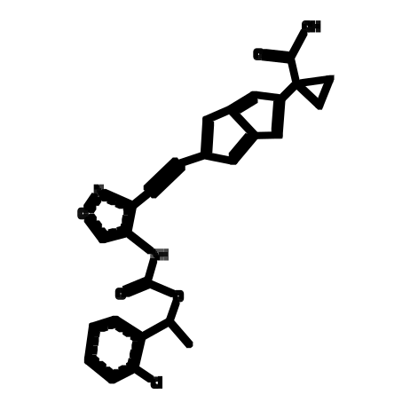 CC(OC(=O)Nc1conc1C#CC1=CC2=CC(C3(C(=O)O)CC3)=CC2=C1)c1ccccc1Cl